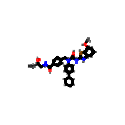 O=C(NC[C@@H](O)C(=O)O)c1ccc(CN(C(=O)Nc2nc3cccc(OC(F)(F)F)c3s2)c2ccc(C3CCCCC3)cc2)cc1